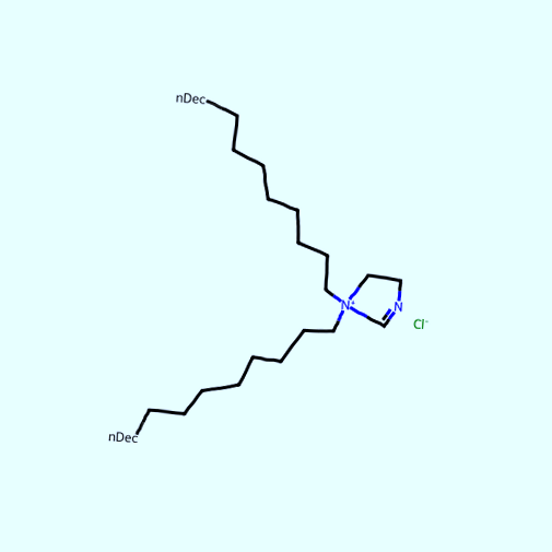 CCCCCCCCCCCCCCCCCC[N+]1(CCCCCCCCCCCCCCCCCC)C=NCC1.[Cl-]